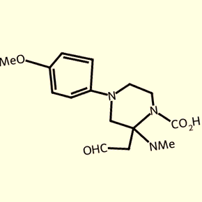 CNC1(CC=O)CN(c2ccc(OC)cc2)CCN1C(=O)O